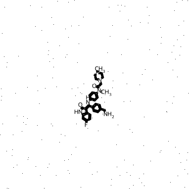 CN1CCN(CC(=O)N(C)c2ccc(N/C(=C3\C(=O)Nc4cc(F)ccc43)c3ccc(CN)cc3)cc2)CC1